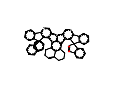 CC12CCCc3c1c(c1c4c5c(ncc4n4c6cnc7c(c6c3c14)C1(c3ccccc3-c3ccccc31)c1ccccc1-7)-c1ccccc1C51c3ccccc3-c3ccccc31)CCC2